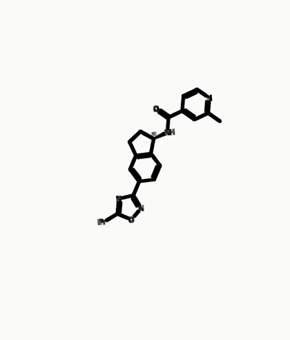 Cc1cc(C(=O)N[C@@H]2CCc3cc(-c4noc(C(C)C)n4)ccc32)ccn1